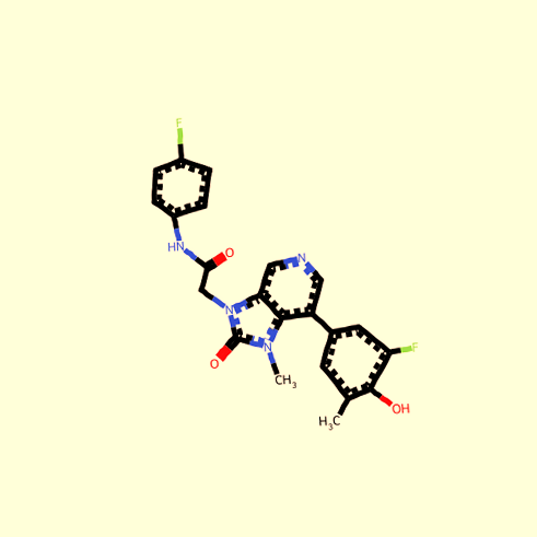 Cc1cc(-c2cncc3c2n(C)c(=O)n3CC(=O)Nc2ccc(F)cc2)cc(F)c1O